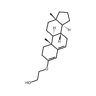 C[C@@]12CCC[C@H]1[C@@H]1CC=C3C=C(OCCO)CC[C@]3(C)[C@H]1CC2